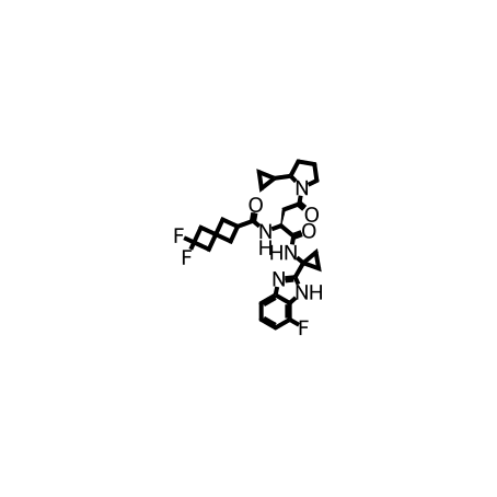 O=C(N[C@@H](CC(=O)N1CCCC1C1CC1)C(=O)NC1(c2nc3cccc(F)c3[nH]2)CC1)C1CC2(C1)CC(F)(F)C2